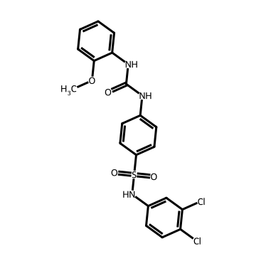 COc1ccccc1NC(=O)Nc1ccc(S(=O)(=O)Nc2ccc(Cl)c(Cl)c2)cc1